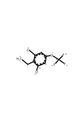 CCc1c(Cl)cc(OC(F)(F)F)cc1Cl